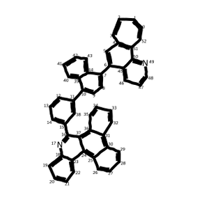 C1=CC=Cc2cc(-c3ccc(-c4cccc(-c5nc6ccccc6c6c7ccccc7c7ccccc7c56)c4)c4ccccc34)c3cccnc3c2C=1